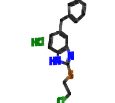 Cl.ClCCSc1nc2cc(Cc3ccccc3)ccc2[nH]1